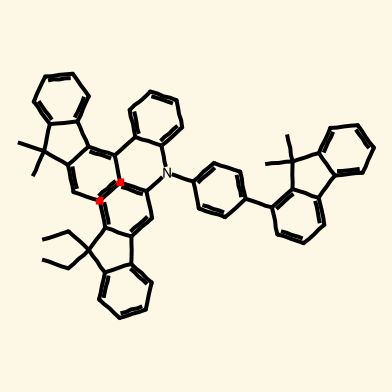 CCC1(CC)c2ccccc2-c2cc(N(c3ccc(-c4cccc5c4C(C)(C)c4ccccc4-5)cc3)c3ccccc3-c3cccc4c3-c3ccccc3C4(C)C)ccc21